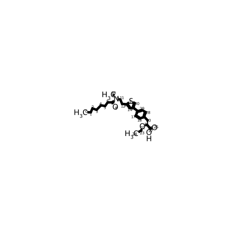 CCCCCCCC(=O)N(C)CCc1cc(-c2ccc(C[C@H](OCC)C(=O)O)cc2)cs1